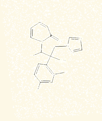 CC(n1ccccc1=O)C(O)(Cn1cncn1)c1ccc(F)cc1F